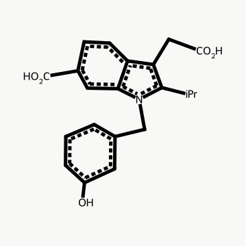 CC(C)c1c(CC(=O)O)c2ccc(C(=O)O)cc2n1Cc1cccc(O)c1